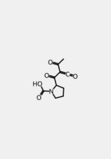 CC(=O)C(=C=O)C(=O)C1CCCN1C(=O)O